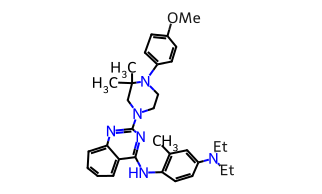 CCN(CC)c1ccc(Nc2nc(N3CCN(c4ccc(OC)cc4)C(C)(C)C3)nc3ccccc23)c(C)c1